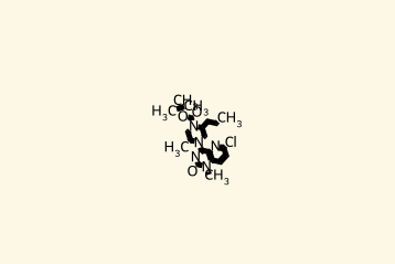 CCCC1CN(c2nc(=O)n(C)c3ccc(Cl)nc23)C(C)CN1C(=O)OC(C)(C)C